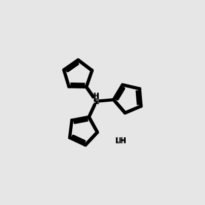 C1=CCC([SiH](C2=CC=CC2)C2=CC=CC2)=C1.[LiH]